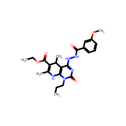 CCCn1c2c(c(NNC(=O)c3cccc(OC)c3)nc1=O)C(C)C(C(=O)OCC)=C(C)N2